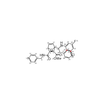 COC(=O)C1=C(C(=O)NCc2ccncc2)C2C=CC1(C(Cc1ccccc1)Nc1cc(F)cc(Cl)c1)O2